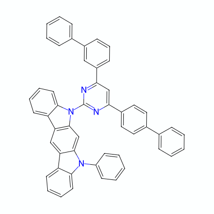 c1ccc(-c2ccc(-c3cc(-c4cccc(-c5ccccc5)c4)nc(-n4c5ccccc5c5cc6c7ccccc7n(-c7ccccc7)c6cc54)n3)cc2)cc1